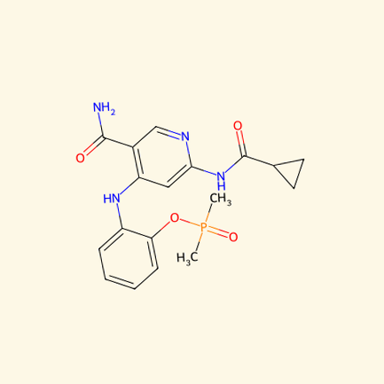 CP(C)(=O)Oc1ccccc1Nc1cc(NC(=O)C2CC2)ncc1C(N)=O